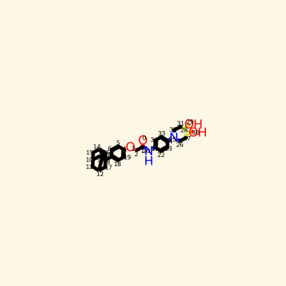 O=C(COc1ccc(C23CC4CC(CC(C4)C2)C3)cc1)Nc1ccc(N2CCS(O)(O)CC2)cc1